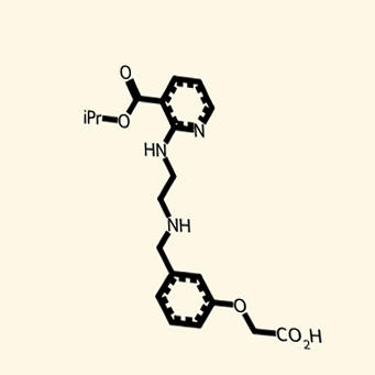 CC(C)OC(=O)c1cccnc1NCCNCc1cccc(OCC(=O)O)c1